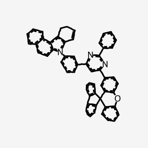 C1=Cc2c(c3c4ccccc4ccc3n2-c2cccc(-c3cc(-c4ccc5c(c4)C4(c6ccccc6O5)c5ccccc5-c5ccccc54)nc(-c4ccccc4)n3)c2)CC1